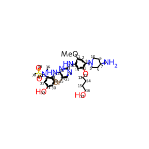 COc1cc(N2CCC(N)CC2)c(OCCCCO)cc1Nc1ncc(Br)c(Nc2ccc(O)cc2N(C)S(C)(=O)=O)n1